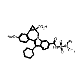 COc1ccc2c(c1)C1CC1(C(=O)O)Cn1c-2c(C2CCCCC2)c2ccc(C(=O)NS(=O)(=O)N(C)C(C)C)cc21